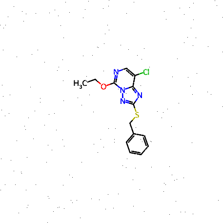 CCOc1ncc(Cl)c2nc(SCc3ccccc3)nn12